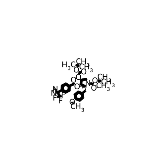 COc1ccc(C[C@@H]2[C@H](OC(=O)c3ccc(C4(C(F)(F)F)N=N4)cc3)[C@@H](OC(=O)OC(C)(C)C)CN2C(=O)OC(C)(C)C)cc1